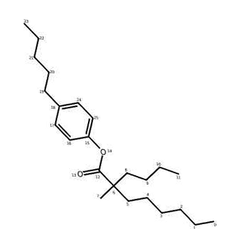 CCCCCCC(C)(CCCC)C(=O)Oc1ccc(CCCCC)cc1